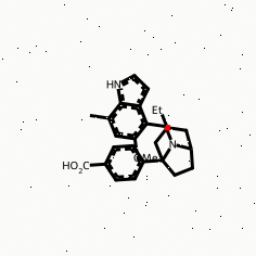 CCC1CC2CCC(c3ccc(C(=O)O)cc3)(C1)N2Cc1c(OC)cc(C)c2[nH]ccc12